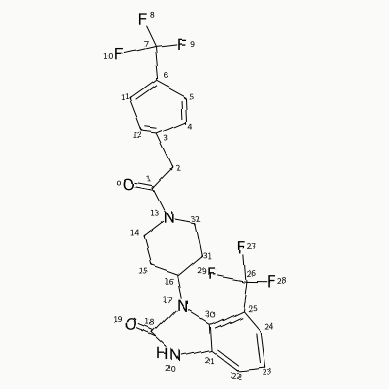 O=C(Cc1ccc(C(F)(F)F)cc1)N1CCC(n2c(=O)[nH]c3cccc(C(F)(F)F)c32)CC1